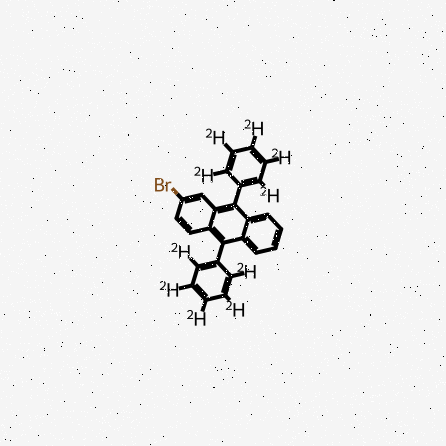 [2H]c1c([2H])c([2H])c(-c2c3ccccc3c(-c3c([2H])c([2H])c([2H])c([2H])c3[2H])c3cc(Br)ccc23)c([2H])c1[2H]